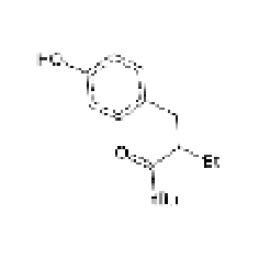 CCC(Cc1ccc(O)cc1)C(=O)C(C)(C)C